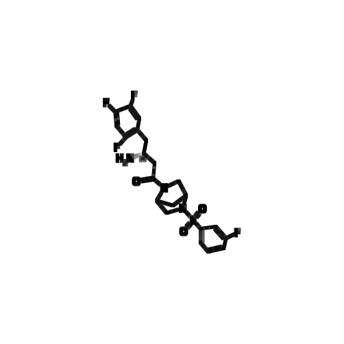 N[C@@H](CC(=O)N1CC2CC1CN2S(=O)(=O)c1cccc(F)c1)Cc1cc(F)c(F)cc1F